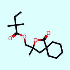 CCC(C)(C)C(=O)OCC1(C)CC2(CCCCC2)C(=O)O1